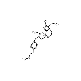 COCCc1ncc(CN2CC[C@]3(C[C@@H]2C)OCCc2c3sc(Cl)c2CO)cn1